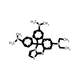 CCN(CC)c1ccc2c(c1)N=C1SC=CN1C2(c1ccc(N(C)C)cc1)c1ccc(N(C)C)cc1